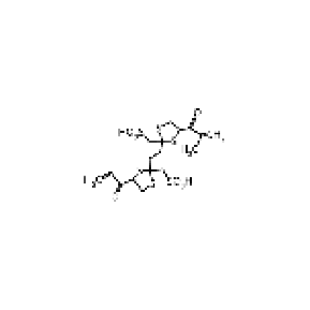 C=CC(=O)C1CSC(CCC2(CS(=O)(=O)O)SCC(C(=O)C(=C)C)S2)(CS(=O)(=O)O)S1